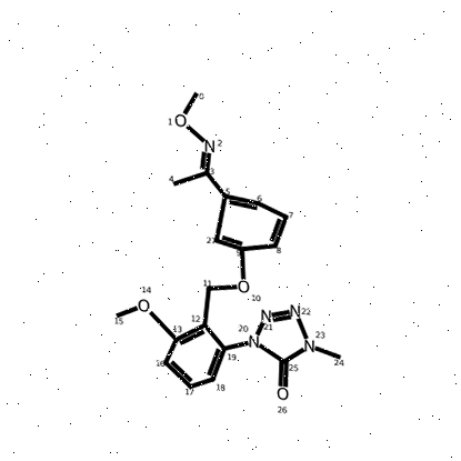 CO/N=C(\C)c1cccc(OCc2c(OC)cccc2-n2nnn(C)c2=O)c1